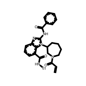 C=CC(=O)N1CCCCC(n2c(NC(=O)c3ccccc3)nc3cccc(C(=O)NCC)c32)C1